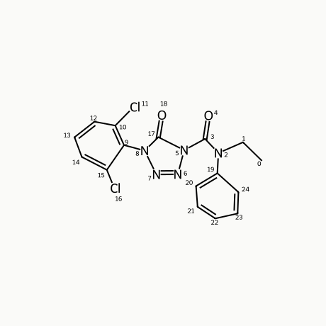 CCN(C(=O)n1nnn(-c2c(Cl)cccc2Cl)c1=O)c1ccccc1